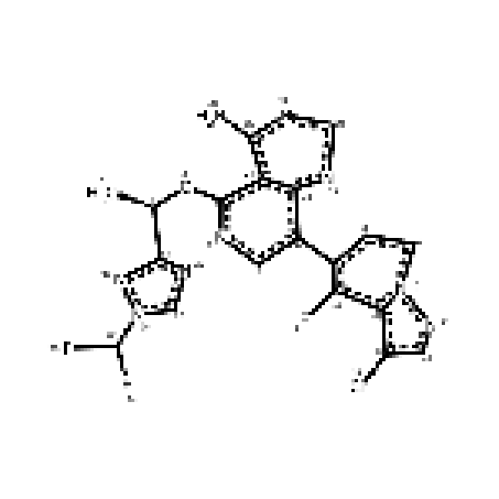 C[C@@H](Oc1ncc(-c2ccn3ncc(Cl)c3c2F)c2ncnc(N)c12)c1ncn(C(F)F)n1